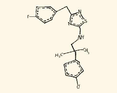 CC(C)(CNc1nc(Cc2ccc(F)cc2)ns1)c1ccc(Cl)cc1